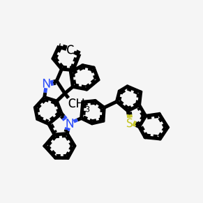 CC1(c2ccccc2)C(c2ccccc2)=Nc2ccc3c4ccccc4n(-c4ccc(-c5cccc6c5sc5ccccc56)cc4)c3c21